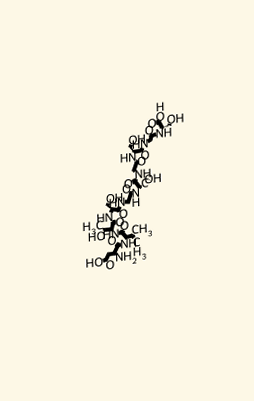 CC(C)[C@H](NC(=O)[C@@H](N)CC(=O)O)C(=O)N[C@H](C(=O)N[C@@H](CO)C(=O)NCC(=O)N[C@@H](CO)C(=O)NCC(=O)N[C@@H](CO)C(=O)NCC(=O)N[C@@H](CO)C(=O)O)[C@@H](C)O